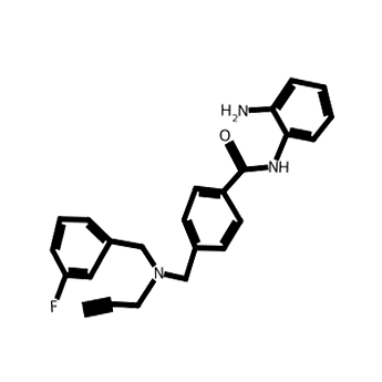 C#CCN(Cc1ccc(C(=O)Nc2ccccc2N)cc1)Cc1cccc(F)c1